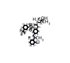 C/C(=C\c1ccc2c(c1)N(S(=O)(=O)c1cccc(C(F)(F)F)c1)C[C@H](CCC(C)(C)O)C2)c1c(F)cccc1Cl